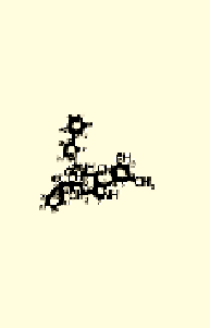 Cc1cc(C)cc(-c2[nH]cc(CCC(C)(C)C(=O)N3C4CCC3CC4)c2[C@H](C)CNC(=O)N2CCC(c3ccncc3)C2)c1